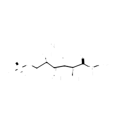 CCCCCNC(=O)[C@@H](O)[C@@H](O)[C@H](O)[C@H](O)COS(=O)(=O)[O-].[Na+]